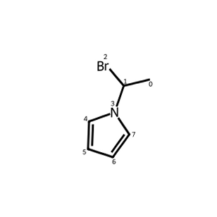 CC(Br)n1cccc1